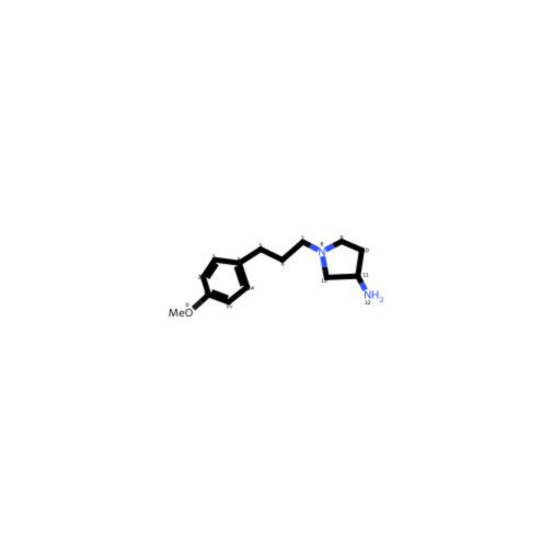 COc1ccc(CCCN2CCC(N)C2)cc1